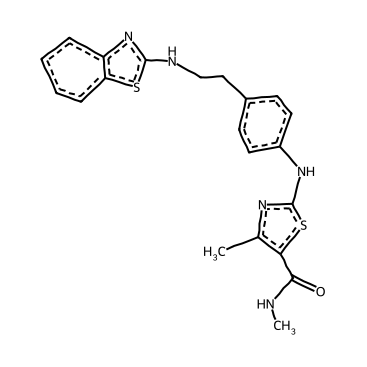 CNC(=O)c1sc(Nc2ccc(CCNc3nc4ccccc4s3)cc2)nc1C